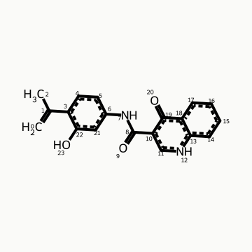 C=C(C)c1ccc(NC(=O)c2c[nH]c3ccccc3c2=O)cc1O